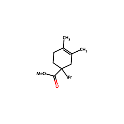 COC(=O)C1(C(C)C)CCC(C)=C(C)C1